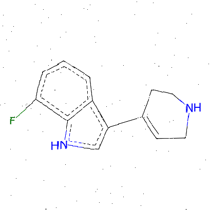 Fc1cccc2c(C3=CCNCC3)c[nH]c12